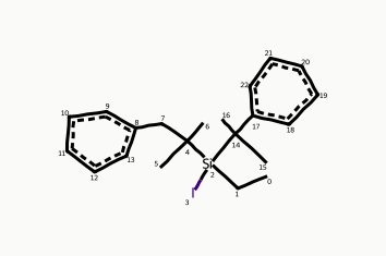 CC[Si](I)(C(C)(C)Cc1ccccc1)C(C)(C)c1ccccc1